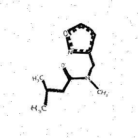 CC(C)CC(=O)N(C)Cc1ccon1